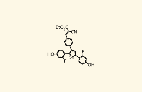 CCOC(=O)C(C#N)=Cc1ccc(-c2cc(-c3ccc(O)cc3F)[se]c2-c2ccc(O)cc2F)cc1